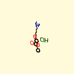 CCN(CC)CCCCCCOc1ccc2oc(-c3ccccc3)cc(=O)c2c1.Cl